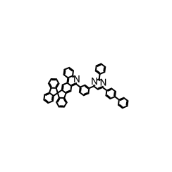 c1ccc(-c2ccc(-c3cc(-c4cccc(-c5nc6ccccc6c6cc7c(cc56)-c5ccccc5C75c6ccccc6-c6ccccc65)c4)nc(-c4ccccc4)n3)cc2)cc1